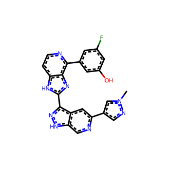 Cn1cc(-c2cc3c(-c4nc5c(-c6cc(O)cc(F)c6)nccc5[nH]4)n[nH]c3cn2)cn1